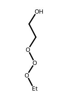 CCOOOCCO